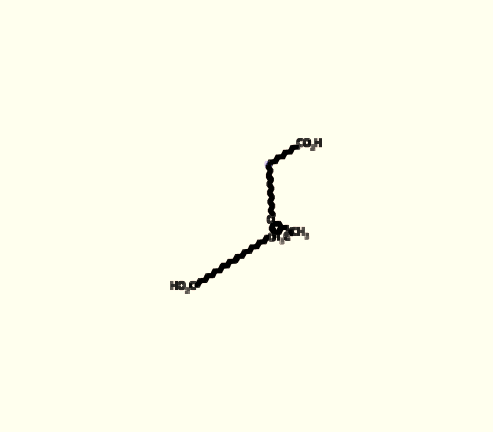 CN(C)Cc1cc(OCCCCCCCCC=CCC=CCCCCCCCC(=O)O)cc(OCCCCCCCCC=CC/C=C\CCCCCCCC(=O)O)c1